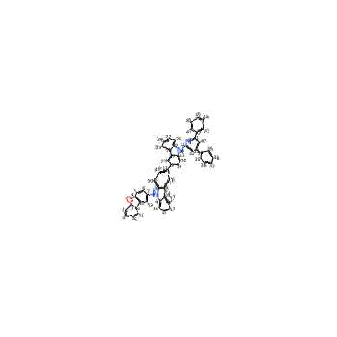 C1=CC2Oc3ccc(-n4c5ccccc5c5cc(-c6ccc7c(c6)c6ccccc6n7-c6cc(-c7ccccc7)cc(-c7ccccc7)n6)ccc54)cc3C2C=C1